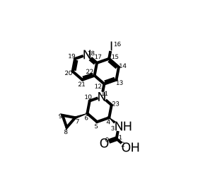 O=C(O)N[C@H]1C[C@@H](C2CC2)CN(c2ccc(I)c3ncccc23)C1